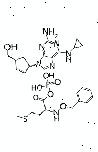 CSCC[C@H](NOCc1ccccc1)C(=O)OP(=O)(O)O.Nc1nc(NC2CC2)c2ncn([C@H]3C=C[C@@H](CO)C3)c2n1